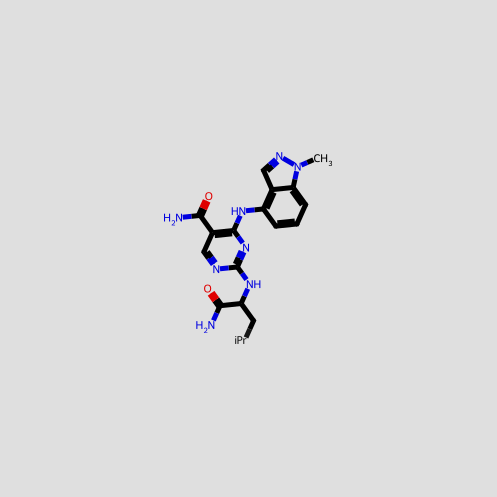 CC(C)CC(Nc1ncc(C(N)=O)c(Nc2cccc3c2cnn3C)n1)C(N)=O